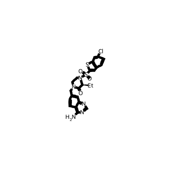 CC[C@H]1C(=O)N(Cc2ccc3c(N)ncnc3c2)CCN1S(=O)(=O)c1cc2ccc(Cl)cc2s1